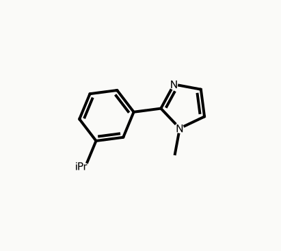 CC(C)c1cccc(-c2nccn2C)c1